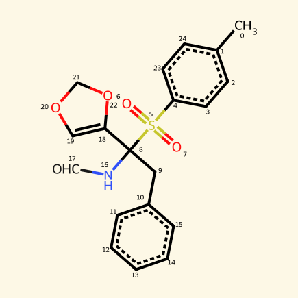 Cc1ccc(S(=O)(=O)C(Cc2ccccc2)(NC=O)C2=COCO2)cc1